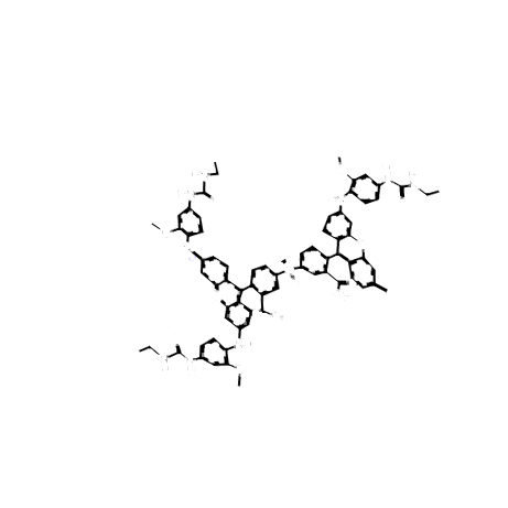 C=c1ccc2c(c1)Oc1cc(Nc3ccc(NC(=O)NCC)cc3OC)ccc1C=2c1ccc(S(=O)(=O)c2ccc(-c3c4cc/c(=N\c5ccc(NC(=O)NCC)cc5OC)cc-4oc4cc(Nc5ccc(NC(=O)NCC)cc5OC)ccc34)c(C(=O)O)c2)cc1C(=O)O